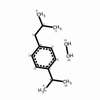 CC(C)Cc1ccc(C(C)C)cc1.OO